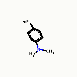 CC[CH]c1ccc(N(C)C)cc1